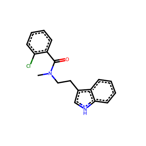 CN(CCc1c[nH]c2ccccc12)C(=O)c1ccccc1Cl